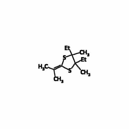 CCC1(C)SC(=C(C)C)SC1(C)CC